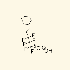 OOOSC(F)(F)C(F)(F)C(F)(F)CCC1CCCCC1